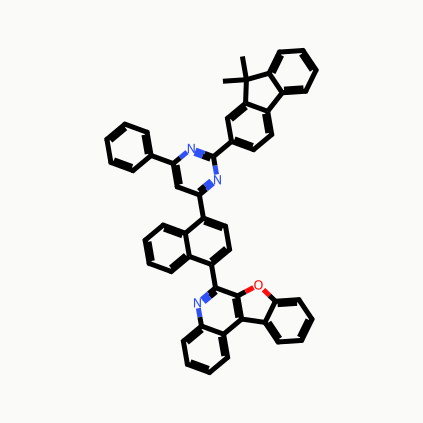 CC1(C)c2ccccc2-c2ccc(-c3nc(-c4ccccc4)cc(-c4ccc(-c5nc6ccccc6c6c5oc5ccccc56)c5ccccc45)n3)cc21